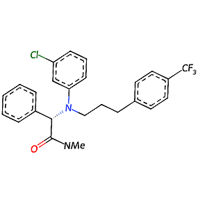 CNC(=O)[C@H](c1ccccc1)N(CCCc1ccc(C(F)(F)F)cc1)c1cccc(Cl)c1